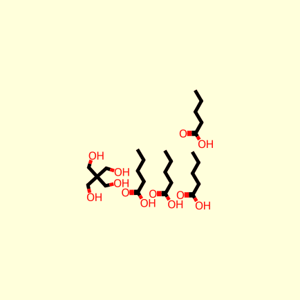 CCCCC(=O)O.CCCCC(=O)O.CCCCC(=O)O.CCCCC(=O)O.OCC(CO)(CO)CO